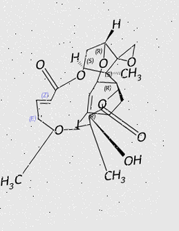 CC1/C=C/C=C\C(=O)O[C@H]2C[C@H]3OC4C=C(I)CC[C@]4(COC(=O)[C@H](O)C(C)CCO1)[C@]2(C)C31CO1